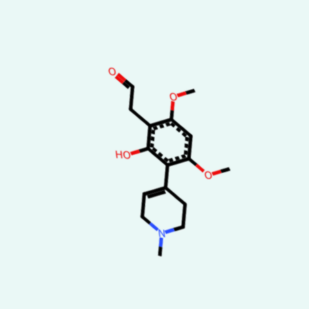 COc1cc(OC)c(C2=CCN(C)CC2)c(O)c1CC=O